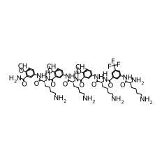 COc1ccc(NC(=O)[C@H](CCCCN)NC(=O)c2cc(NC(=O)[C@H](CCCCN)NC(=O)c3cc(NC(=O)[C@H](CCCCN)NC(=O)c4cc(NC(=O)[C@@H](N)CCCCN)cc(C(F)(F)F)c4)ccc3OC)ccc2OC)cc1C(N)=O